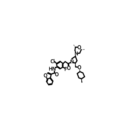 C[C@@H]1CN([C@H]2C[C@@H](CO[C@H]3CC[C@H](C)CC3)N(C(=O)Cc3cc(Cl)c(NC(=O)c4coc5ccccc45)cc3F)C2)C[C@H](C)O1